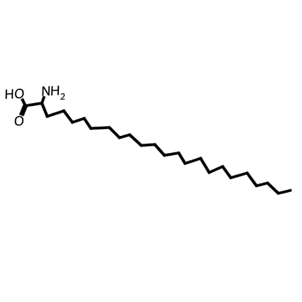 CCCCCCCCCCCCCCCCCCCCCCC(N)C(=O)O